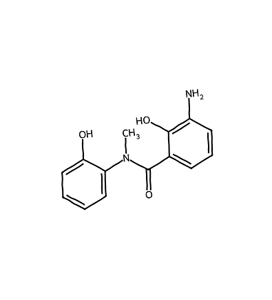 CN(C(=O)c1cccc(N)c1O)c1ccccc1O